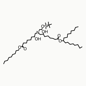 CCCCCCCCCOC(=O)CCCCCC(O)CN(CCO[Si](C)(C)C(C)(C)C)CC(O)CCCCCC(=O)OC(CCCCCCCC)CCCCCCCC